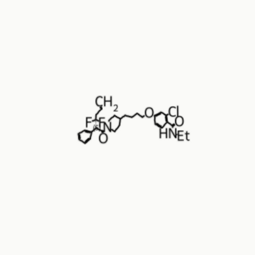 C=CCC(F)(F)[C@H](C(=O)N1CCC(CCCCOc2ccc(C(=O)NCC)c(Cl)c2)CC1)c1ccccc1